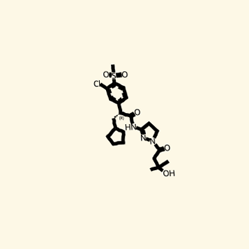 CC(C)(O)CC(=O)N1CCC(NC(=O)[C@H](CC2CCCC2)c2ccc(S(C)(=O)=O)c(Cl)c2)=N1